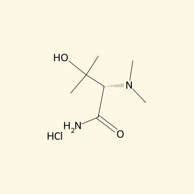 CN(C)[C@H](C(N)=O)C(C)(C)O.Cl